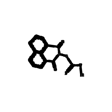 CCOC(=S)ON1C(=O)c2cccc3cccc(c23)C1=O